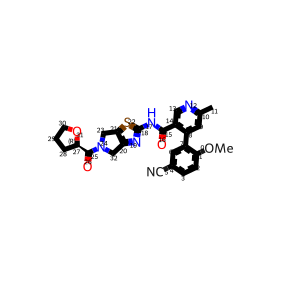 COc1ccc(C#N)cc1-c1cc(C)ncc1C(=O)Nc1nc2c(s1)CN(C(=O)[C@H]1CCCO1)C2